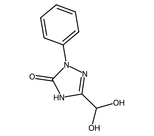 O=c1[nH]c(C(O)O)nn1-c1ccccc1